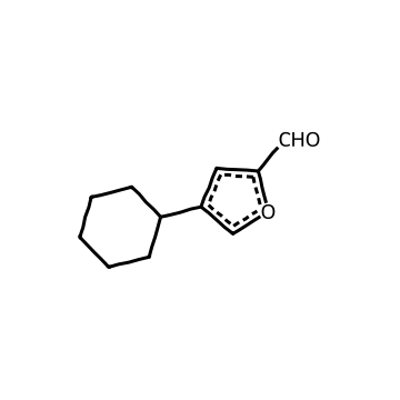 O=Cc1cc(C2CCCCC2)co1